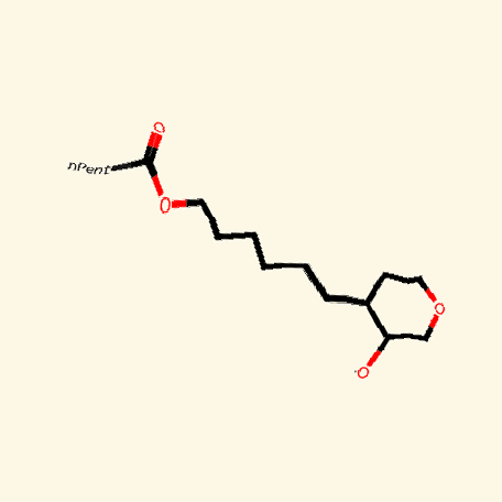 CCCCCC(=O)OCCCCCCC1CCOCC1[O]